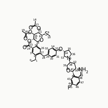 CCc1ccc([C@@H]2O[C@H](SC)[C@@H](OC(C)=O)[C@H](OC(C)=O)[C@H]2OC(C)=O)cc1Cc1ccc(O[C@@H]2CCN([C@@H]3CO[C@H](c4cc(F)ccc4F)[C@@H](N)C3)C2)cc1